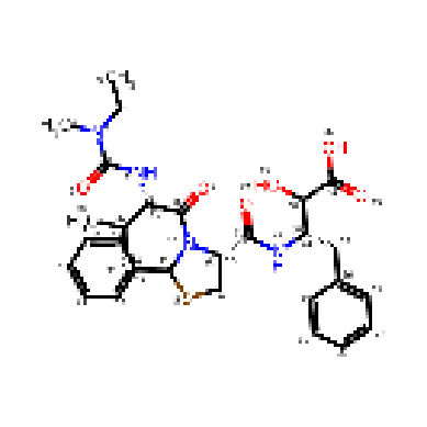 CCN(C)C(=O)N[C@H](C(=O)N1C(c2ccccc2)SC[C@H]1C(=O)N[C@@H](Cc1ccccc1)C(O)C(=O)O)C(C)C